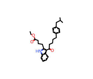 CCOC(=O)CCCc1[nH]c2ccccc2c1C(=O)CCCCc1ccc(CC(C)C)cc1